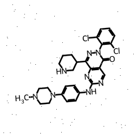 CN1CCN(c2ccc(Nc3ncc4c(=O)n(-c5c(Cl)cccc5Cl)nc(C5CCCNC5)c4n3)cc2)CC1